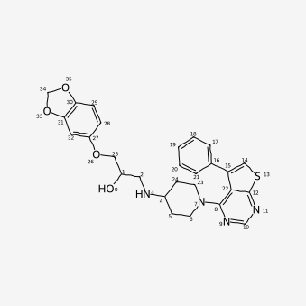 OC(CNC1CCN(c2ncnc3scc(-c4ccccc4)c23)CC1)COc1ccc2c(c1)OCO2